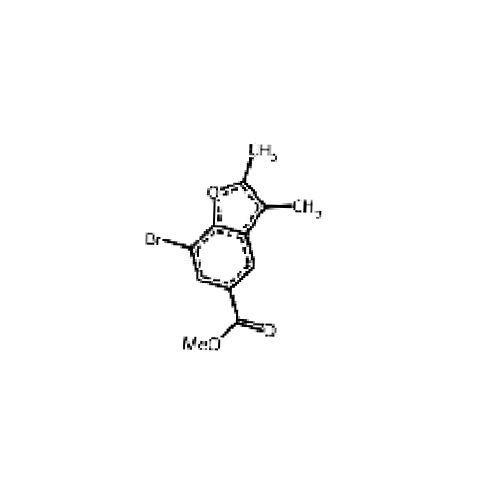 COC(=O)c1cc(Br)c2oc(C)c(C)c2c1